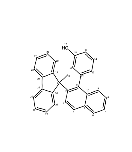 CC1(c2ccc3ccccc3c2-c2cccc(O)c2)c2ccccc2-c2ccccc21